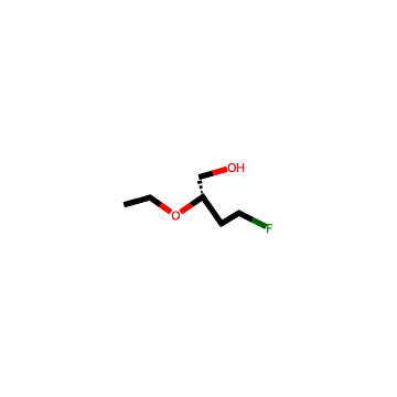 CCO[C@H](CO)CCF